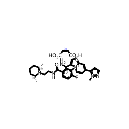 C[C@@H]1CCC[C@H](C)N1CCNC(=O)c1ccc(F)c([N+]23C=CC(c4ccnn4C)=CC2=NC=C3C(N)=O)c1.O=C(O)/C=C\C(=O)O